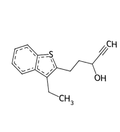 C#CC(O)CCc1sc2ccccc2c1CC